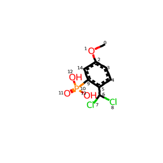 COc1ccc(C(Cl)Cl)c(P(=O)(O)O)c1